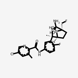 Cc1cc(Cl)cnc1C(=O)Nc1ccc(F)c([C@@]2(C)N=C(N)[C@@]3(CF)CC[C@@H]2S3(O)O)c1